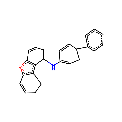 C1=Cc2oc3c(c2CC1)C(NC1=CCC(c2ccccc2)C=C1)CC=C3